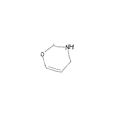 [CH]1NCC=CO1